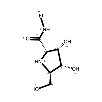 CCNC(=O)[C@H]1N[C@H](CO)[C@@H](O)[C@H]1O